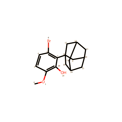 COc1ccc(Br)c(C23CC4CC(CC(C4)C2)C3)c1O